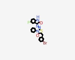 O=C1Nc2ccc(F)cc2C1=NN=C1SC(=Cc2cccc(Br)c2)C(=O)N1c1ccccc1